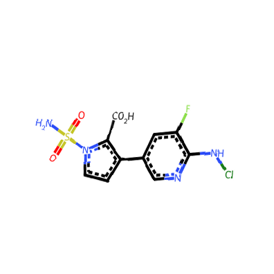 NS(=O)(=O)n1ccc(-c2cnc(NCl)c(F)c2)c1C(=O)O